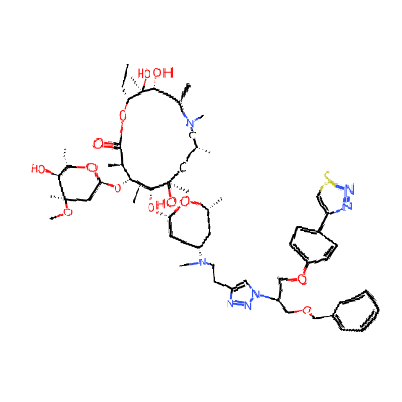 CC[C@H]1OC(=O)[C@H](C)[C@@H](O[C@H]2C[C@@](C)(OC)[C@@H](O)[C@H](C)O2)[C@H](C)[C@@H](O[C@H]2C[C@@H](N(C)CCc3cn([C@H](COCc4ccccc4)COc4ccc(-c5csnn5)cc4)nn3)C[C@@H](C)O2)[C@](C)(O)C[C@@H](C)CN(C)[C@H](C)[C@@H](O)[C@]1(C)O